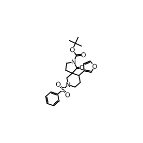 CC(C)(C)OC(=O)N1CCC2(CN(S(=O)(=O)c3ccccc3)CCC2c2ccoc2)C1=O